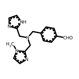 Cn1ccnc1CN(Cc1ccc(C=O)cc1)Cc1ncc[nH]1